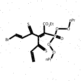 C=CC(=S)C(C(=S)C=CBr)=C(C(=O)OCC)P(=O)(OOCCC)OOCCC